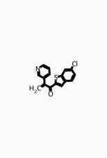 C=C(C(=O)c1cc2ccc(Cl)cc2s1)c1cccnc1